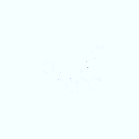 CC=C(NCc1ccc(Cl)c(Cl)c1)NC(=O)/C(NCCCCC(=O)OCC)=C(\C)C=N